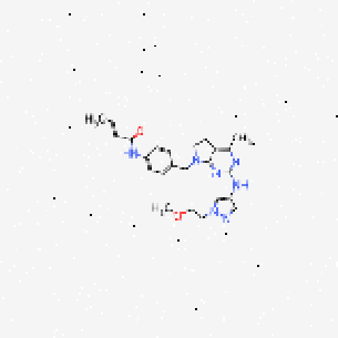 C/C=C/C(=O)Nc1ccc(CN2CCc3c(C)nc(Nc4cnn(CCOC)c4)nc32)cc1